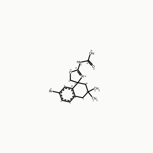 CC1(C)Cc2ccc(Br)cc2C2(COC(NC(=O)O)=N2)C1